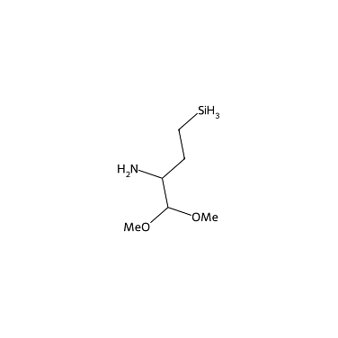 COC(OC)C(N)CC[SiH3]